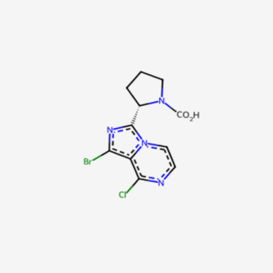 O=C(O)N1CCC[C@H]1c1nc(Br)c2c(Cl)nccn12